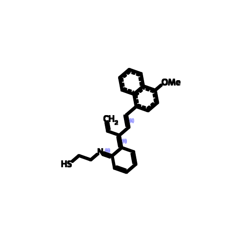 C=CC(/C=C/c1ccc(OC)c2ccccc12)=C1/C=CC=C/C1=N\CCS